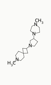 CN1CCN(C2CCN(C3CC4(CCN(C)CC4)C3)C2)CC1